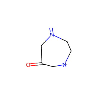 O=C1C[N]CCNC1